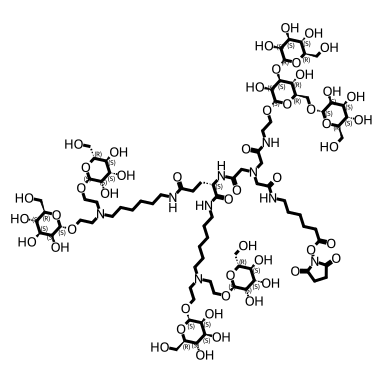 O=C(CC[C@H](NC(=O)CN(CC(=O)NCCCCCC(=O)ON1C(=O)CCC1=O)CC(=O)NCCO[C@H]1O[C@H](CO[C@H]2O[C@H](CO)[C@@H](O)[C@H](O)[C@@H]2O)[C@@H](O)[C@H](O[C@H]2O[C@H](CO)[C@@H](O)[C@H](O)[C@@H]2O)[C@@H]1O)C(=O)NCCCCCCN(CCO[C@H]1O[C@H](CO)[C@@H](O)[C@H](O)[C@@H]1O)CCO[C@H]1O[C@H](CO)[C@@H](O)[C@H](O)[C@@H]1O)NCCCCCCN(CCO[C@H]1O[C@H](CO)[C@@H](O)[C@H](O)[C@@H]1O)CCO[C@H]1O[C@H](CO)[C@@H](O)[C@H](O)[C@@H]1O